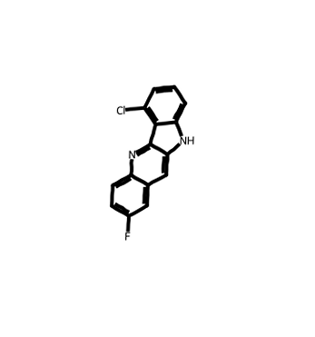 Fc1ccc2nc3c(cc2c1)[nH]c1cccc(Cl)c13